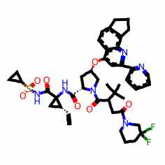 C=C[C@@H]1CC1(NC(=O)[C@@H]1C[C@@H](Oc2cc(-c3ccccn3)nc3c4c(ccc23)CCC4)CN1C(=O)C(CC(=O)N1CCCC(F)(F)C1)C(C)(C)C)C(=O)NS(=O)(=O)C1CC1